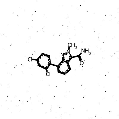 Cn1nc2c(-c3ccc(Cl)cc3Cl)cccc2c1C(N)=O